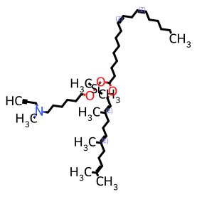 C#CCN(C)CCCCCCO[Si](C)(C)OC(CCCCCCC/C=C\C/C=C\CCCCC)OC/C=C(\C)CC/C=C(\C)CCC=C(C)C